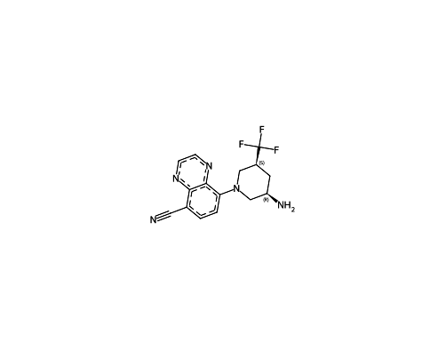 N#Cc1ccc(N2C[C@H](N)C[C@H](C(F)(F)F)C2)c2nccnc12